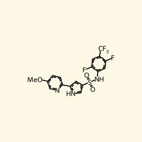 COc1ccc(-c2cc(S(=O)(=O)Nc3cc(F)c(C(F)(F)F)cc3F)c[nH]2)nc1